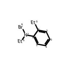 CCc1ccccc1N(Br)CC